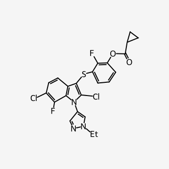 CCn1cc(-n2c(Cl)c(Sc3cccc(OC(=O)C4CC4)c3F)c3ccc(Cl)c(F)c32)cn1